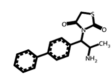 CC(N)C(c1ccc(-c2ccccc2)cc1)N1C(=O)CSC1=O